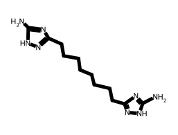 Nc1nc(CCCCCCCCc2n[nH]c(N)n2)n[nH]1